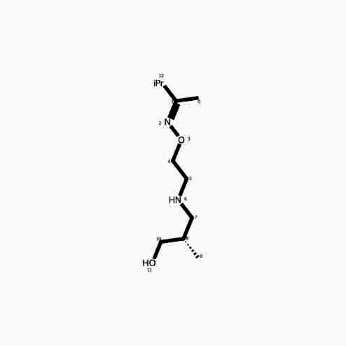 C/C(=N\OCCNC[C@H](C)CO)C(C)C